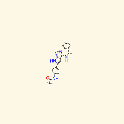 CC(Nc1ncnc2[nH]c(-c3ccc(NC(=O)C(C)(C)C)cc3)cc12)c1ccccc1